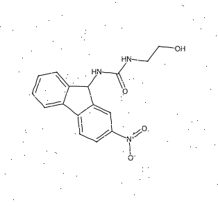 O=C(NCCO)NC1c2ccccc2-c2ccc([N+](=O)[O-])cc21